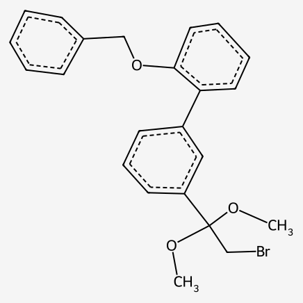 COC(CBr)(OC)c1cccc(-c2ccccc2OCc2ccccc2)c1